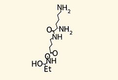 CCC(O)NOC(=O)CCCNC(=O)[C@@H](N)CCCCN